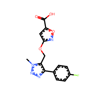 Cn1nnc(-c2ccc(F)cc2)c1COc1cc(C(=O)O)on1